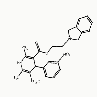 CCOC(=O)C1=C(C(F)(F)F)NC(C(F)(F)F)=C(C(=O)OCCN2Cc3ccccc3C2)C1c1cccc([N+](=O)[O-])c1